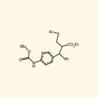 CCOC(=O)C(CSC(C)=O)C(c1ccc(NC(=O)OC(C)(C)C)nc1)C(C)C